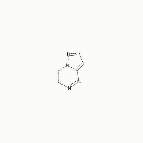 c1cn2nccc2nn1